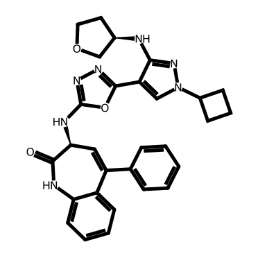 O=C1Nc2ccccc2C(c2ccccc2)=C[C@@H]1Nc1nnc(-c2cn(C3CCC3)nc2N[C@@H]2CCOC2)o1